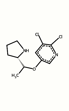 CC(Oc1cnc(Cl)c(Cl)c1)[C@@H]1CCCN1